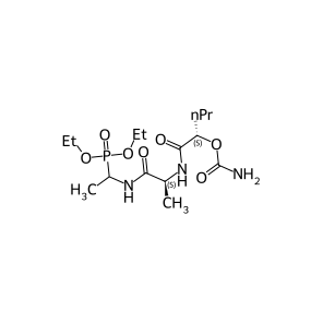 CCC[C@H](OC(N)=O)C(=O)N[C@@H](C)C(=O)NC(C)P(=O)(OCC)OCC